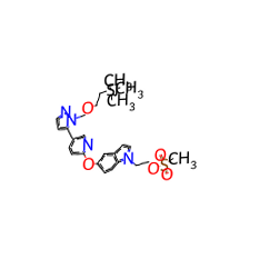 C[Si](C)(C)CCOCn1nccc1-c1ccc(Oc2ccc3c(ccn3CCOS(C)(=O)=O)c2)nc1